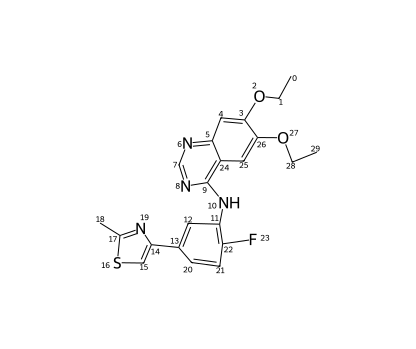 CCOc1cc2ncnc(Nc3cc(-c4csc(C)n4)ccc3F)c2cc1OCC